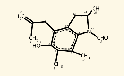 C=C(C)Cc1c(O)c(C)c(C)c2c1CC(C)N2C=O